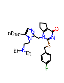 CCCCCCCCCCc1cnc(Cn2c(SCc3ccc(F)cc3)nc(=O)c3c2CCC3)n1CCN(CC)CC